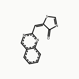 O=C1N=CSC1=Cc1ncc2ccccc2n1